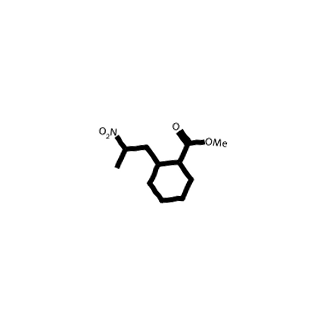 COC(=O)C1CCCCC1CC(C)[N+](=O)[O-]